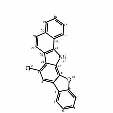 Clc1cc2c3ccccc3oc2c2[nH]c3c4ccccc4ccc3c12